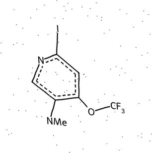 CNc1cnc(I)cc1OC(F)(F)F